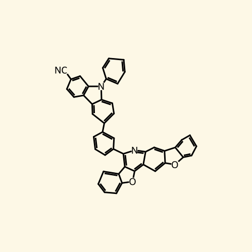 N#Cc1ccc2c3cc(-c4cccc(-c5nc6cc7c(cc6c6oc8ccccc8c56)oc5ccccc57)c4)ccc3n(-c3ccccc3)c2c1